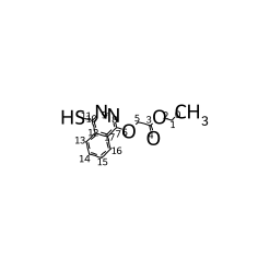 CCOC(=O)COc1nnc(S)c2ccccc12